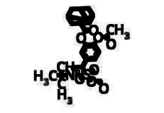 CC(=O)Oc1ccc(C(CNC(C)(C)C)S(=O)(=O)OC=O)cc1OC(=O)C12CC3CC(CC(C3)C1)C2